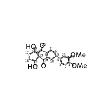 COc1ccc(-c2ccc3c(c2)C(=O)c2c(O)ccc(O)c2C3=O)cc1OC